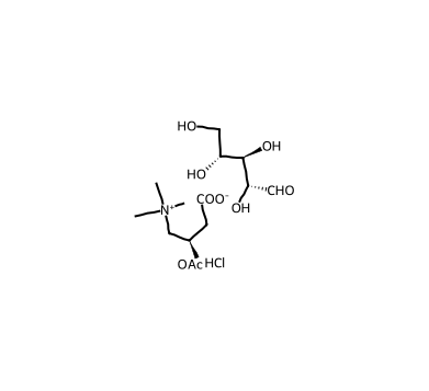 CC(=O)O[C@H](CC(=O)[O-])C[N+](C)(C)C.Cl.O=C[C@H](O)[C@H](O)[C@H](O)CO